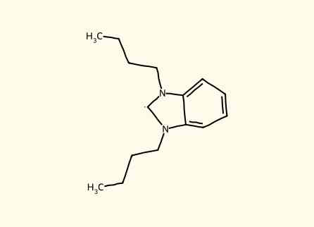 CCCCN1[CH]N(CCCC)c2ccccc21